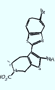 C[C@@H]1Cc2c(sc(N)c2-c2nc3cc(Br)ccc3s2)CN1C(=O)O